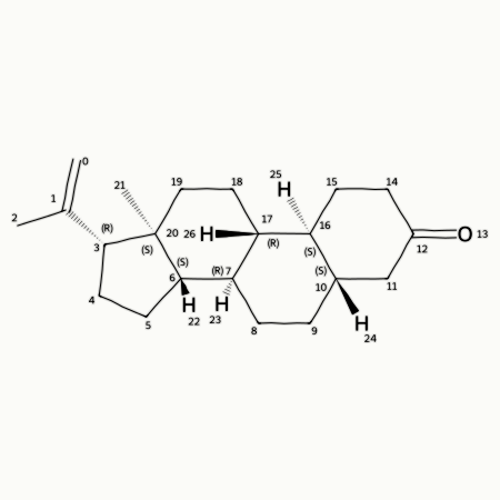 C=C(C)[C@H]1CC[C@H]2[C@@H]3CC[C@H]4CC(=O)CC[C@@H]4[C@H]3CC[C@]12C